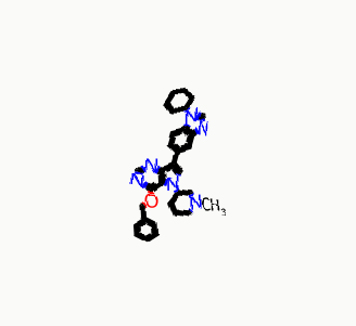 CN1CCCC(n2cc(-c3ccc4c(c3)ncn4C3CCCCC3)c3ncnc(OCc4ccccc4)c32)C1